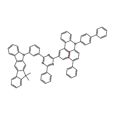 CC1(C)c2ccccc2-c2cc3c4ccccc4n(-c4cccc(-c5nc(-c6ccccc6)nc(-c6cccc(-c7ccccc7N(c7ccc(-c8ccccc8)cc7)c7ccc(-c8ccccc8)cc7)c6)n5)c4)c3cc21